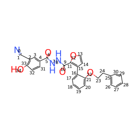 N#Cc1cc(C(=O)NNC(=O)c2occc2-c2ccccc2OCCc2ccccc2)ccc1O